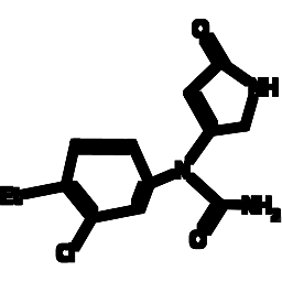 CCc1ccc(N(C(N)=O)C2=CC(=O)NC2)cc1Cl